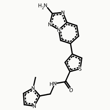 Cn1ccnc1CNC(=O)c1cc(-c2ccc3nc(N)nn3c2)cs1